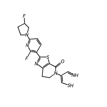 N=C/C(=C\S)N1CCc2nc(-c3ccc(N4CCC(F)C4)nc3F)sc2C1=O